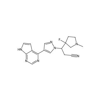 CN1CCC(F)(C(CC#N)n2cc(-c3ncnc4[nH]ccc34)cn2)C1